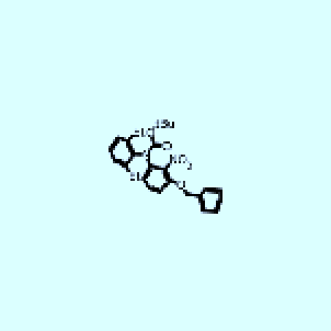 CCc1cccc(CC)c1N(C(=O)OC(C)(C)C)c1cccc(OCc2ccccc2)c1[N+](=O)[O-]